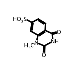 Cn1c(=O)[nH]c(=O)c2ccc(S(=O)(=O)O)cc21